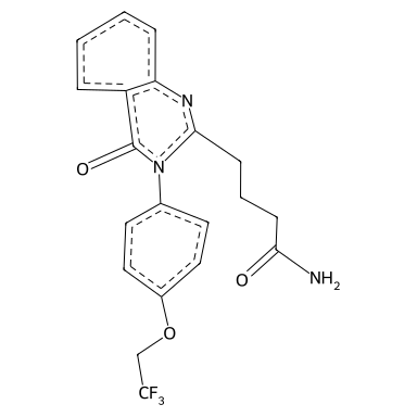 NC(=O)CCCc1nc2ccccc2c(=O)n1-c1ccc(OCC(F)(F)F)cc1